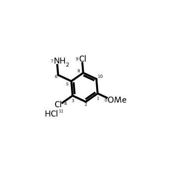 COc1cc(Cl)c(CN)c(Cl)c1.Cl